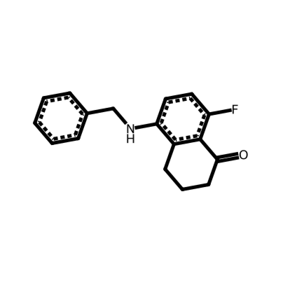 O=C1CCCc2c(NCc3ccccc3)ccc(F)c21